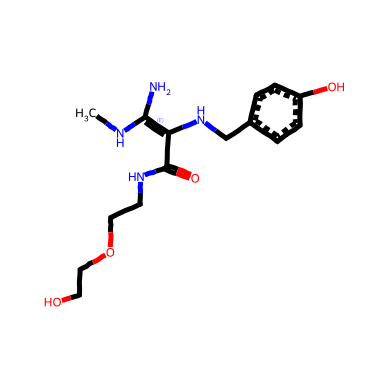 CN/C(N)=C(/NCc1ccc(O)cc1)C(=O)NCCOCCO